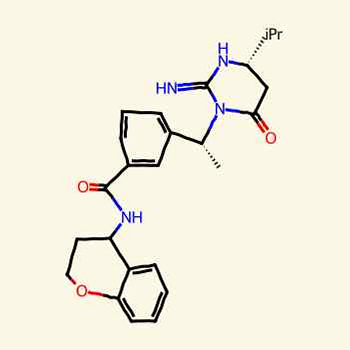 CC(C)[C@@H]1CC(=O)N([C@H](C)c2cccc(C(=O)NC3CCOc4ccccc43)c2)C(=N)N1